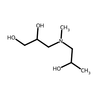 CC(O)CN(C)CC(O)CO